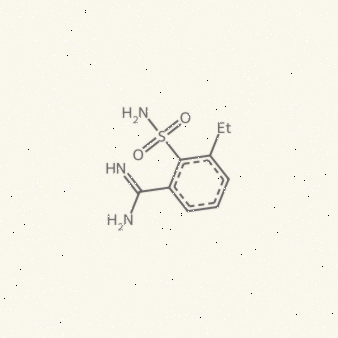 CCc1cccc(C(=N)N)c1S(N)(=O)=O